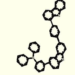 c1ccc(N(c2ccccc2)c2cccc(-c3ccc4sc5ccc(-c6ccc(-c7cccc8c7sc7ccccc78)cc6)cc5c4c3)c2)cc1